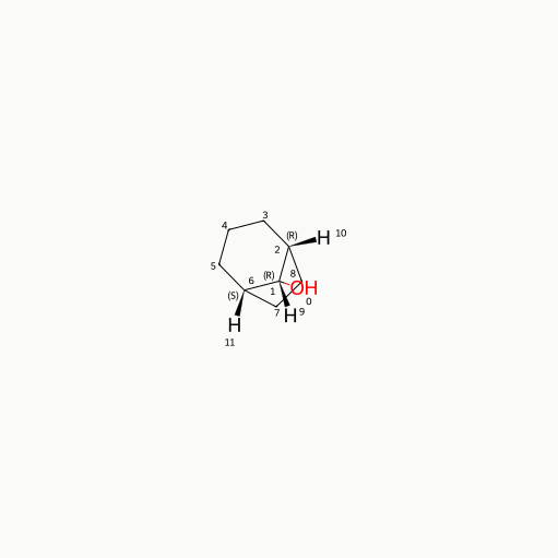 O[C@H]1[C@@H]2CCC[C@H]1CC2